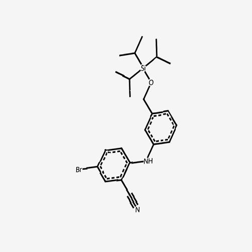 CC(C)[Si](OCc1cccc(Nc2ccc(Br)cc2C#N)c1)(C(C)C)C(C)C